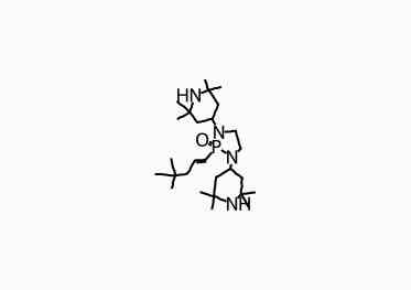 CC(C)(C)CC=CP1(=O)N(C2CC(C)(C)NC(C)(C)C2)CCN1C1CC(C)(C)NC(C)(C)C1